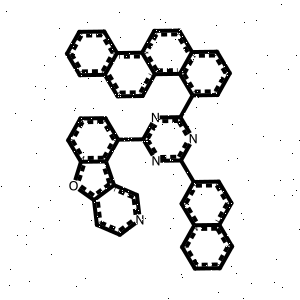 c1ccc2cc(-c3nc(-c4cccc5ccc6c7ccccc7ccc6c45)nc(-c4cccc5oc6ccncc6c45)n3)ccc2c1